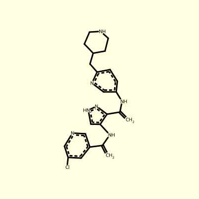 C=C(Nc1c[nH]nc1C(=C)Nc1ccc(CC2CCNCC2)nc1)c1cncc(Cl)c1